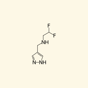 FC(F)CNCc1cn[nH]c1